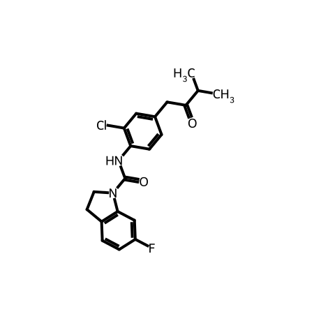 CC(C)C(=O)Cc1ccc(NC(=O)N2CCc3ccc(F)cc32)c(Cl)c1